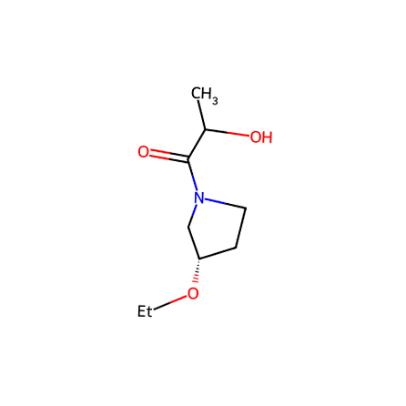 CCO[C@H]1CCN(C(=O)C(C)O)C1